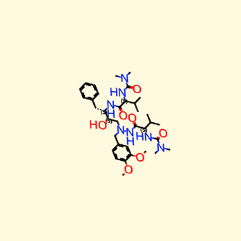 COc1ccc(CN(C[C@H](O)[C@H](Cc2ccccc2)NC(=O)[C@@H](NC(=O)N(C)C)C(C)C)NC(=O)[C@@H](NC(=O)N(C)C)C(C)C)cc1OC